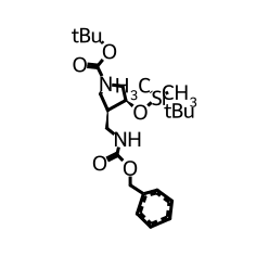 CC(C)(C)OC(=O)N1C[C@H](CNC(=O)OCc2ccccc2)[C@H](O[Si](C)(C)C(C)(C)C)C1